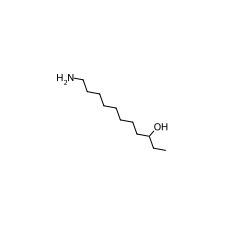 CCC(O)CCCCCCCCN